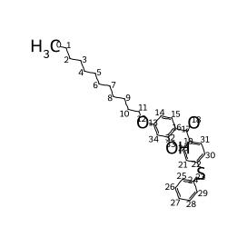 CCCCCCCCCCCCOc1ccc(C(=O)c2ccc(Sc3ccccc3)cc2)c(O)c1